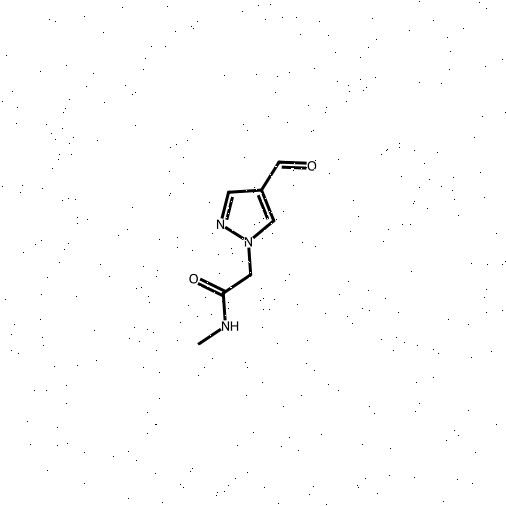 CNC(=O)Cn1cc(C=O)cn1